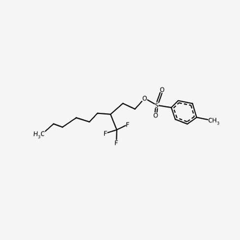 CCCCCCC(CCOS(=O)(=O)c1ccc(C)cc1)C(F)(F)F